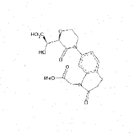 COC(=O)CN1C(=O)CCc2ccc(N3CCO[C@H]([C@@H](O)C(=O)O)C3=O)cc21